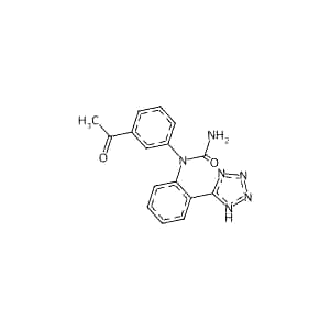 CC(=O)c1cccc(N(C(N)=O)c2ccccc2-c2nnn[nH]2)c1